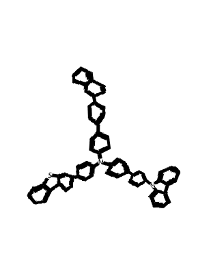 c1ccc2cc(-c3ccc(-c4ccc(N(c5ccc(-c6ccc(-n7c8ccccc8c8ccccc87)cc6)cc5)c5ccc(-c6ccc7c(c6)sc6ccccc67)cc5)cc4)cc3)ccc2c1